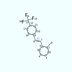 Cc1ccccc1/C=C/c1ccc(C(F)(F)F)cc1